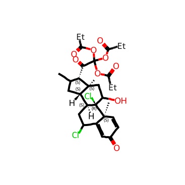 CCC(=O)OC(OC(=O)CC)(OC(=O)CC)C(=O)[C@H]1C(C)C[C@H]2[C@@H]3CC(Cl)C4=CC(=O)C=C[C@]4(C)[C@@]3(Cl)C(O)C[C@]12C